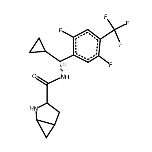 O=C(N[C@@H](c1cc(F)c(C(F)(F)F)cc1F)C1CC1)C1CC2CC2N1